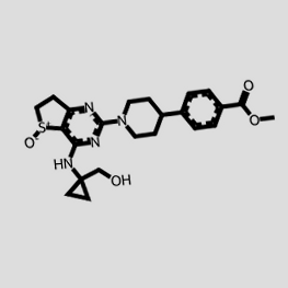 COC(=O)c1ccc(C2CCN(c3nc4c(c(NC5(CO)CC5)n3)[S+]([O-])CC4)CC2)cc1